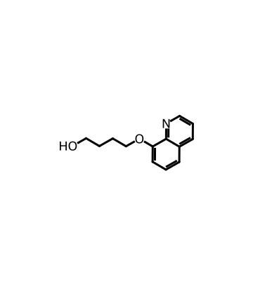 OCCCCOc1cccc2cccnc12